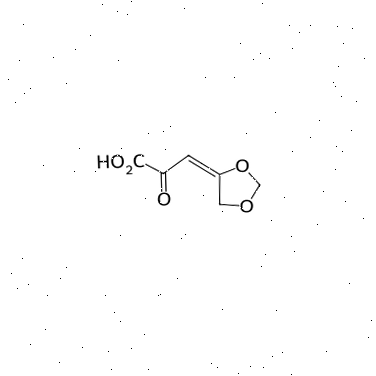 O=C(O)C(=O)/C=C1\COCO1